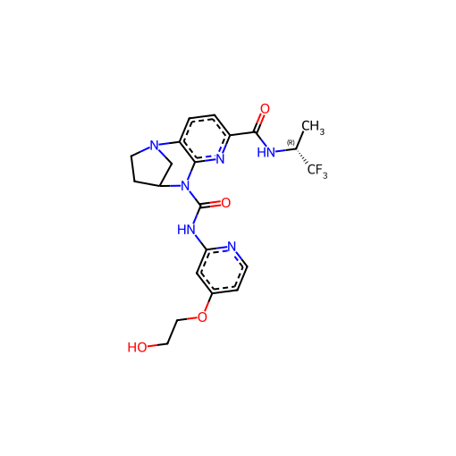 C[C@@H](NC(=O)c1ccc2c(n1)N(C(=O)Nc1cc(OCCO)ccn1)C1CCN2C1)C(F)(F)F